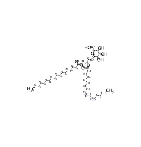 CCCCC/C=C\C/C=C\CCCCCCCC(=O)OC(COC(=O)CCCCCCCCCCCCCCCCC)COC1OC(CO)C(O)C(O)C1O